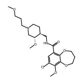 COCCCN1CC[C@@H](CNC(=O)c2cc(Cl)c(OC)c3c2OCCCO3)[C@H](OC)C1